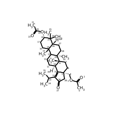 CC(=O)OC[C@@]12CC[C@]3(C)[C@H](CCC4C5(C)CC[C@H](OC(C)=O)C(C)(C)[C@@H]5CC[C@]43C)C1=C(C(C)C)C(=O)C2